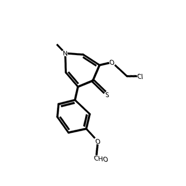 Cn1cc(OCCl)c(=S)c(-c2cccc(OC=O)c2)c1